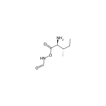 CC[C@H](C)[C@H](N)C(=O)ONC=O